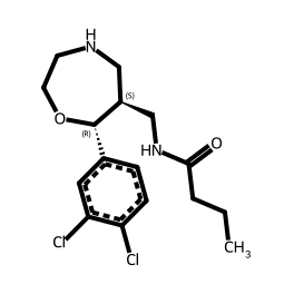 CCCC(=O)NC[C@@H]1CNCCO[C@H]1c1ccc(Cl)c(Cl)c1